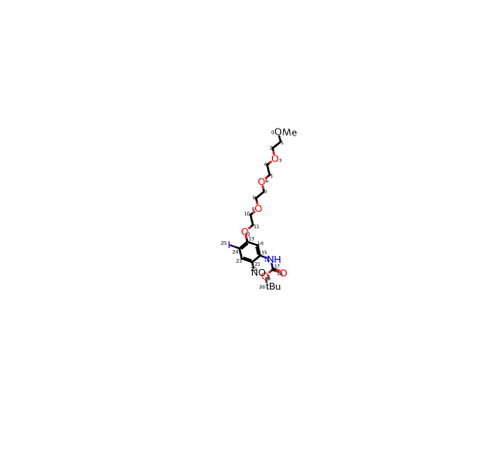 COCCOCCOCCOCCOc1cc(NC(=O)OC(C)(C)C)c([N+](=O)[O-])cc1I